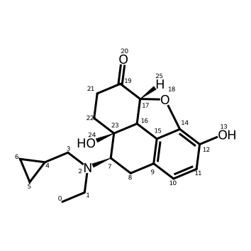 CCN(CC1CC1)[C@@H]1Cc2ccc(O)c3c2C2[C@@H](O3)C(=O)CC[C@]21O